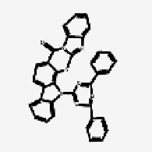 O=c1c2ccc3c4ccccc4n(-c4nc(-c5ccccc5)nc(-c5ccccc5)n4)c3c2oc2nc3ccccc3n12